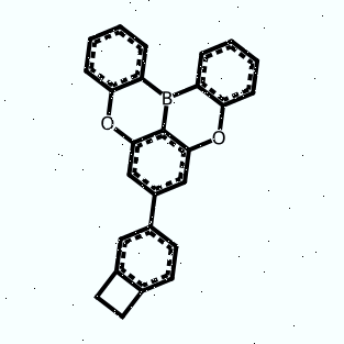 c1ccc2c(c1)Oc1cc(-c3ccc4c(c3)CC4)cc3c1B2c1ccccc1O3